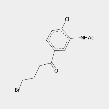 CC(=O)Nc1cc(C(=O)CCCBr)ccc1Cl